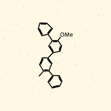 COc1ccc(-c2ccc(C)c(-c3ccccc3)c2)cc1-c1ccccc1